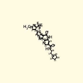 Cn1cc(-c2cn3nc4c5ncc(C(=O)NCCN6CCCC6)cc5[nH]c(=O)c4c3s2)c(C(F)(F)F)n1